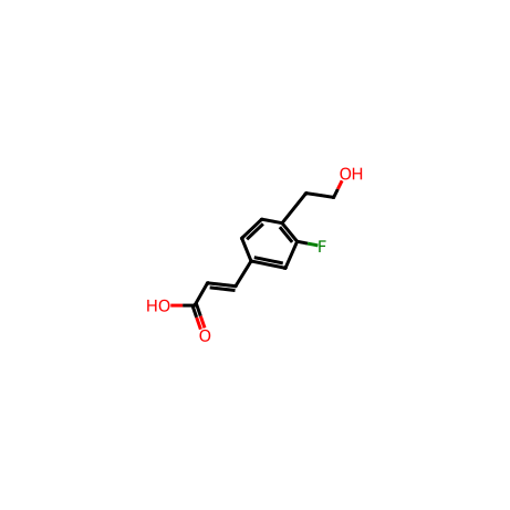 O=C(O)C=Cc1ccc(CCO)c(F)c1